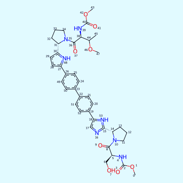 COC(=O)N[C@@H](CO)C(=O)N1CCC[C@H]1c1ncc(-c2ccc(-c3ccc(-c4ccc([C@@H]5CCCN5C(=O)[C@@H](NC(=O)OC)C(C)OC)[nH]4)cc3)cc2)[nH]1